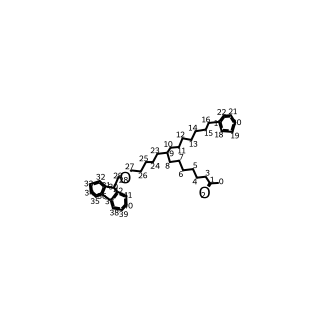 CC(=O)CCCCCCC(CCCCCCCc1ccccc1)CCCCCOCC1c2ccccc2-c2ccccc21